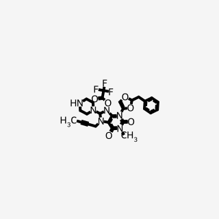 CC#CCN1c2c(n(C3=COC(Cc4ccccc4)O3)c(=O)n(C)c2=O)N(OC(=O)C(F)(F)F)C1N1CCNCC1